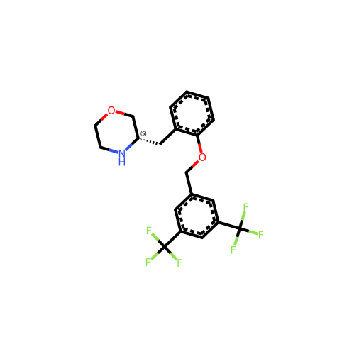 FC(F)(F)c1cc(COc2ccccc2C[C@H]2COCCN2)cc(C(F)(F)F)c1